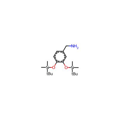 CC(C)(C)[Si](C)(C)Oc1ccc(CN)cc1O[Si](C)(C)C(C)(C)C